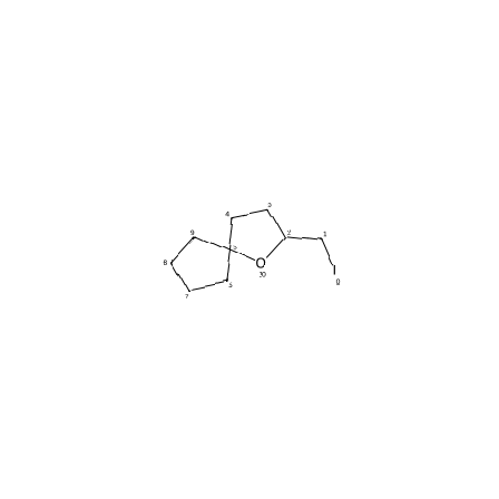 ICC1CCC2(CCCC2)O1